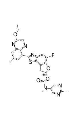 CCOc1cnc2c(-c3nc4cc(F)c5c(c4s3)C[C@@H](OC(=O)N(C)c3cnc(C)nc3)O5)cc(C)cc2n1